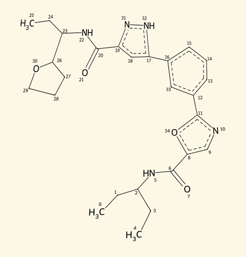 CCC(CC)NC(=O)c1cnc(-c2cccc(-c3cc(C(=O)NC(CC)C4CCCO4)n[nH]3)c2)o1